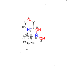 Cc1ccc(N2CCOCC2)c(N(O)O)c1